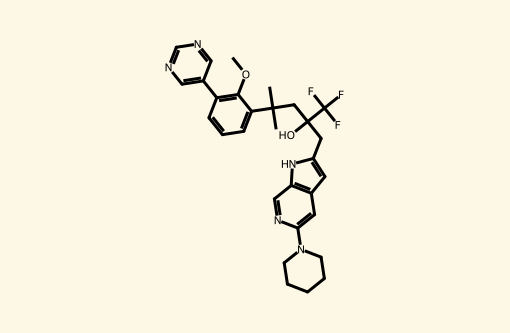 COc1c(-c2cncnc2)cccc1C(C)(C)CC(O)(Cc1cc2cc(N3CCCCC3)ncc2[nH]1)C(F)(F)F